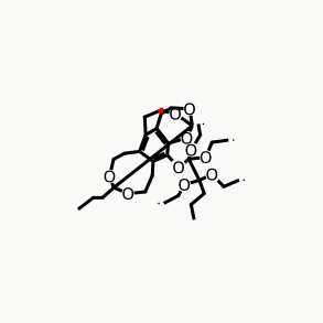 [CH2]COC(CCC)(OC[CH2])C(OC[CH2])(OC[CH2])Oc1c2c3c4c5c1OC(OCC4)(OCC5)C(CCC)(OCC3)OCC2